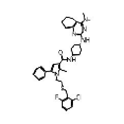 Cc1c(C(=O)N[C@H]2CC[C@@H](Nc3nc4c(c(N(C)C)n3)CCCC4)CC2)cc(-c2ccccc2)n1CCSCc1c(F)cccc1Cl